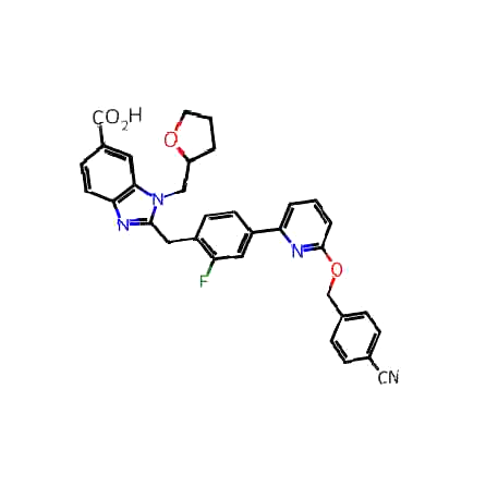 N#Cc1ccc(COc2cccc(-c3ccc(Cc4nc5ccc(C(=O)O)cc5n4CC4CCCO4)c(F)c3)n2)cc1